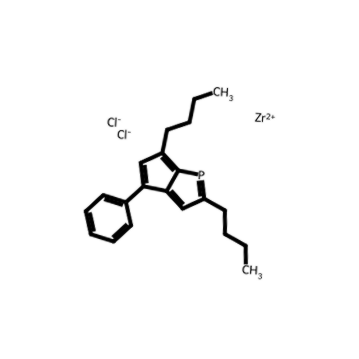 CCCCC1=PC2=C(CCCC)C=C(c3ccccc3)C2=C1.[Cl-].[Cl-].[Zr+2]